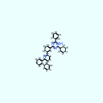 C1=CCC(c2ccc(C3=CC(C4=NC(C5C=CCCC5)NC(c5ccccc5)=N4)=CCC3)nc2C2=CCCC=C2)C=C1